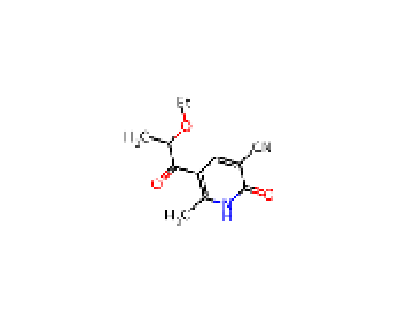 CCOC(C)C(=O)c1cc(C#N)c(=O)[nH]c1C